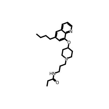 CCCCc1cc(OC2CCN(CCCNC(=O)CC)CC2)c2ncccc2c1